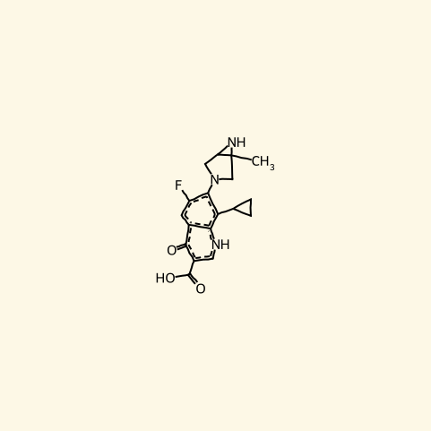 CC12CN(c3c(F)cc4c(=O)c(C(=O)O)c[nH]c4c3C3CC3)CC1N2